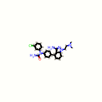 CN(C)CCn1nc(N)c2c(-c3ccc(N(C(N)=O)c4cccc(Cl)c4)cc3)cccc21